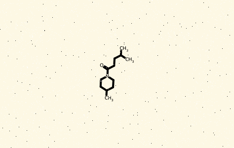 CC(C)CCC(=O)N1CCC(C)CC1